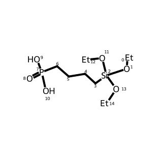 CCO[Si](CCCCP(=O)(O)O)(OCC)OCC